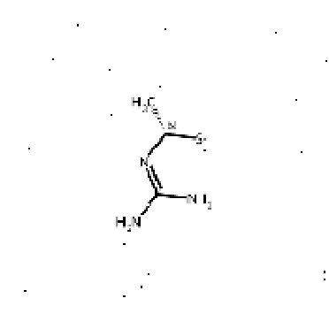 C[C@H]([S])N=C(N)N